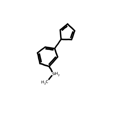 C[SiH2]c1cccc(C2C=CC=C2)c1